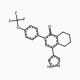 O=c1c2c(c(-c3cn[nH]c3)cn1-c1ccc(OC(F)(F)F)cc1)CCCC2